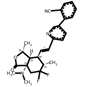 C[C@H]1OC(=O)[C@]2(N(C)C)CC(F)(F)[C@@H](C)[C@H](/C=C/c3ccc(-c4ccccc4C#N)cn3)[C@H]12